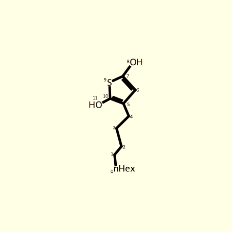 CCCCCCCCCCc1cc(O)sc1O